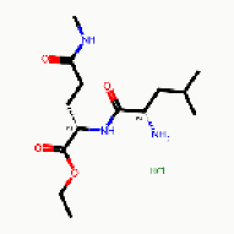 CCOC(=O)[C@H](CCC(=O)NC)NC(=O)[C@@H](N)CC(C)C.Cl